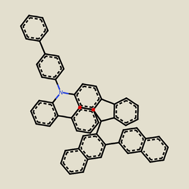 c1ccc(-c2ccc(N(c3ccc4c(c3)C(c3cc5ccccc5cc3-c3ccc5ccccc5c3)c3ccccc3-4)c3ccccc3-c3ccccc3)cc2)cc1